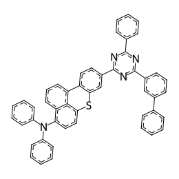 c1ccc(-c2cccc(-c3nc(-c4ccccc4)nc(-c4ccc5c(c4)Sc4ccc(N(c6ccccc6)c6ccccc6)c6cccc-5c46)n3)c2)cc1